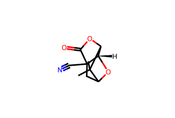 CC1(C)C2CC3(C#N)C(=O)OC1[C@@H]3O2